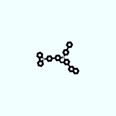 c1ccc(-c2ccc(N3c4ccc(-c5ccc(-n6c7ccccc7c7ccccc76)cc5)cc4Cc4cc(-c5ccc6ccccc6c5)ccc43)cc2)cc1